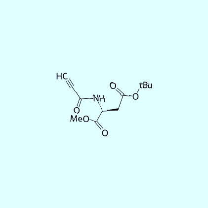 C#CC(=O)N[C@@H](CC(=O)OC(C)(C)C)C(=O)OC